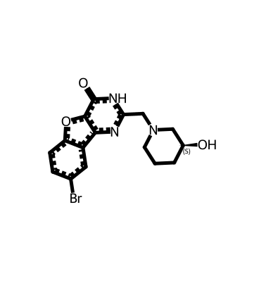 O=c1[nH]c(CN2CCC[C@H](O)C2)nc2c1oc1ccc(Br)cc12